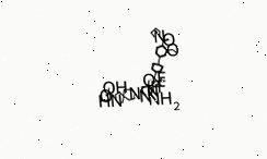 COc1cc(-c2ccc([C@@H](Oc3cc(N4CCC5(CC4)CN[C@H](C(=O)O)C5)nc(N)n3)C(F)(F)F)cc2)ccc1C(=O)N1CCCC1